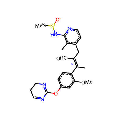 CN[S+]([O-])Nc1nccc(C/C(C=O)=C(\C)c2ccc(OC3=NCCC=N3)cc2OC)c1C